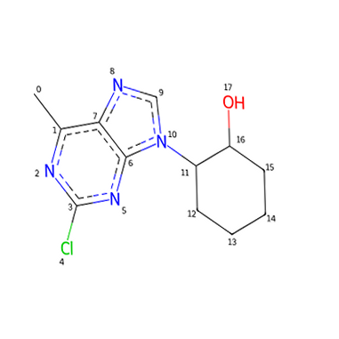 Cc1nc(Cl)nc2c1ncn2C1CCCCC1O